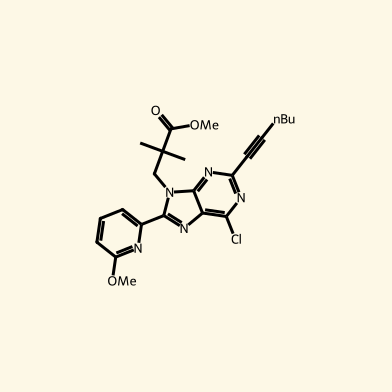 CCCCC#Cc1nc(Cl)c2nc(-c3cccc(OC)n3)n(CC(C)(C)C(=O)OC)c2n1